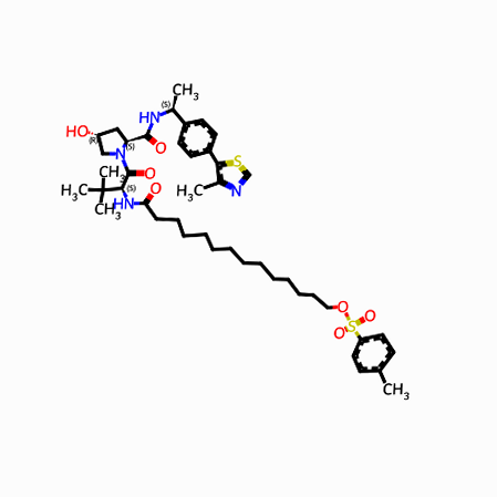 Cc1ccc(S(=O)(=O)OCCCCCCCCCCCCCC(=O)N[C@H](C(=O)N2C[C@H](O)C[C@H]2C(=O)N[C@@H](C)c2ccc(-c3scnc3C)cc2)C(C)(C)C)cc1